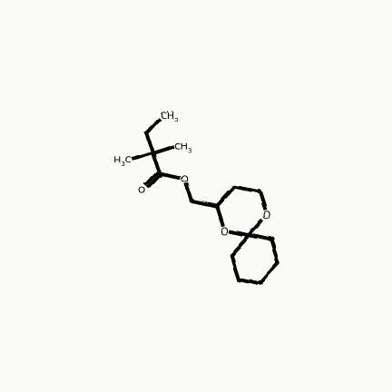 CCC(C)(C)C(=O)OCC1CCOC2(CCCCC2)O1